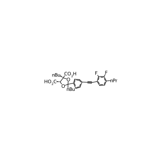 CCCCC1(c2ccc(C#Cc3ccc(CCC)c(F)c3F)cc2)O[C@@H](C(=O)O)[C@](CCCC)(C(=O)O)O1